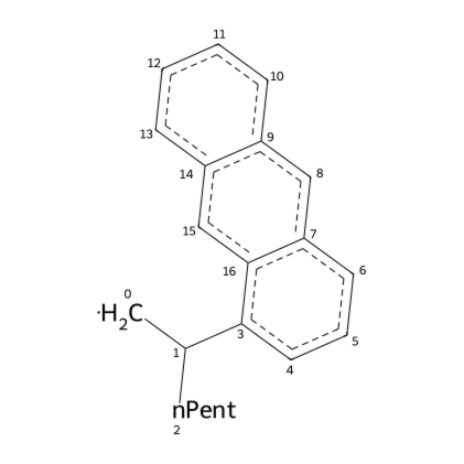 [CH2]C(CCCCC)c1cccc2cc3ccccc3cc12